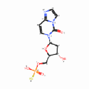 O=c1n([C@H]2C[C@H](O)[C@@H](COP(=O)(O)S)O2)ccc2nccn12